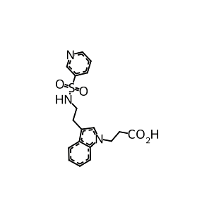 O=C(O)CCn1cc(CCNS(=O)(=O)c2cccnc2)c2ccccc21